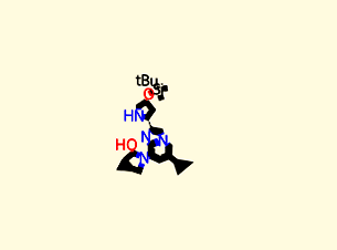 CC(C)(C)[Si](C)(C)OC1CN[C@@H](c2cn3cc(C4CC4)cc(N4CC5CC5C4O)c3n2)C1